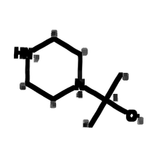 CC(C)([O])N1CCNCC1